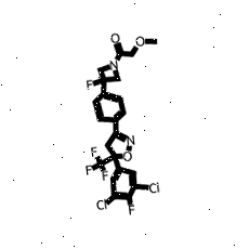 COCC(=O)N1CC(F)(c2ccc(C3=NOC(c4cc(Cl)c(F)c(Cl)c4)(C(F)(F)F)C3)cc2)C1